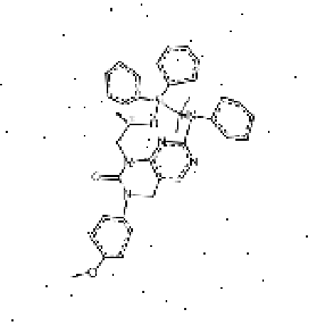 COc1ccc(N2Cc3cnc(Nc4ccccc4)nc3N(C[C@@H](C)O[Si](c3ccccc3)(c3ccccc3)C(C)(C)C)C2=O)cc1